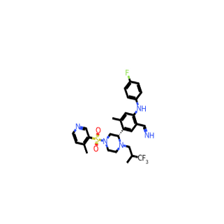 Cc1cc(Nc2ccc(F)cc2)c(C=N)cc1[C@H]1CN(S(=O)(=O)c2cnccc2C)CCN1CC(C)C(F)(F)F